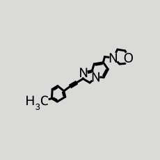 Cc1ccc(C#CC2CN3C=CC(CN4CCOCC4)=CC3=N2)cc1